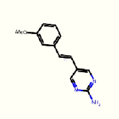 COc1cccc(/C=C/c2cnc(N)nc2)c1